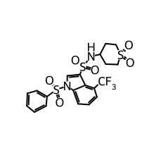 O=S1(=O)CCC(NS(=O)(=O)c2cn(S(=O)(=O)c3ccccc3)c3cccc(C(F)(F)F)c23)CC1